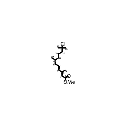 COC(=O)/C=C(C)/C=C/CC(C)CCCC(C)(C)Cl